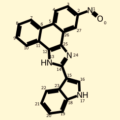 O=Nc1ccc2c3ccccc3c3[nH]c(-c4c[nH]c5ccccc45)nc3c2c1